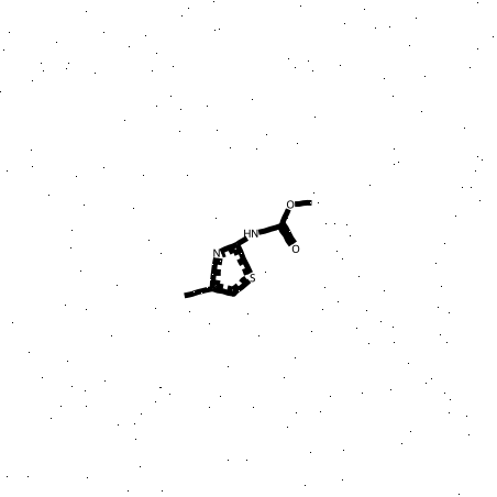 COC(=O)Nc1nc(C)cs1